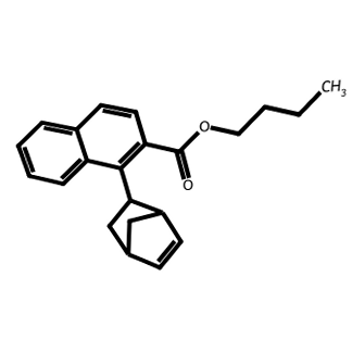 CCCCOC(=O)c1ccc2ccccc2c1C1CC2C=CC1C2